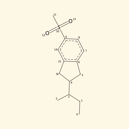 CCC(C)C1Cc2ccc(S(C)(=O)=O)cc2C1